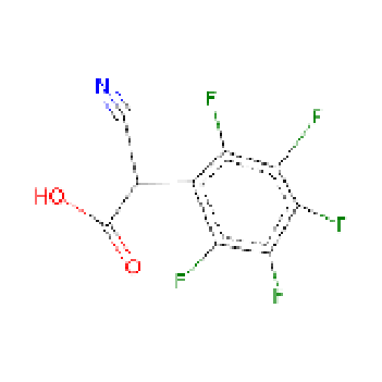 N#CC(C(=O)O)c1c(F)c(F)c(F)c(F)c1F